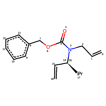 C=CCN(C(=O)OCc1ccccc1)[C@H](C=C)C(C)C